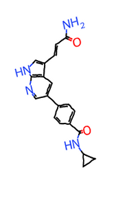 NC(=O)/C=C/c1c[nH]c2ncc(-c3ccc(C(=O)NC4CC4)cc3)cc12